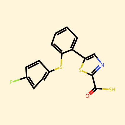 O=C(S)c1ncc(-c2ccccc2Sc2ccc(F)cc2)s1